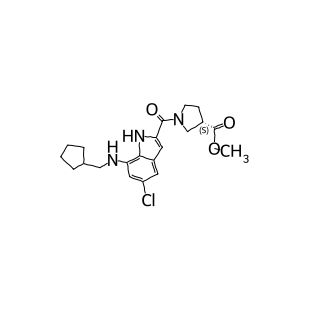 COC(=O)[C@H]1CCN(C(=O)c2cc3cc(Cl)cc(NCC4CCCC4)c3[nH]2)C1